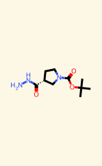 CC(C)(C)OC(=O)N1CC[C@@H](C(=O)NN)C1